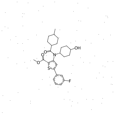 COC(=O)c1sc(-c2cccc(F)c2)cc1N(C(=O)C1CCC(C)CC1)C1CCC(O)CC1